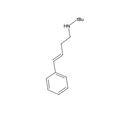 CC(C)(C)NCCC=Cc1ccccc1